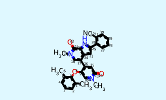 Cc1cccc(C)c1Oc1cn(C)c(=O)cc1-c1cn(C)c(=O)c2[nH]c(-c3ccccc3C#N)cc12